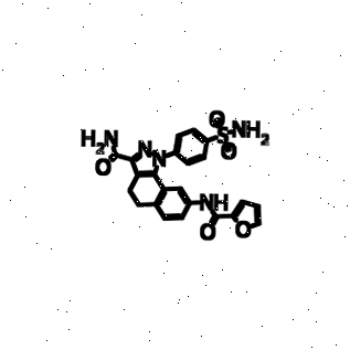 NC(=O)c1nn(-c2ccc(S(N)(=O)=O)cc2)c2c1CCc1ccc(NC(=O)c3ccco3)cc1-2